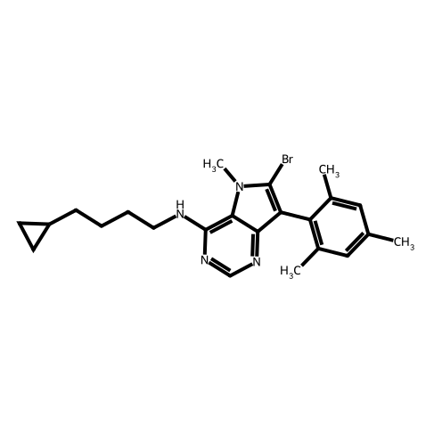 Cc1cc(C)c(-c2c(Br)n(C)c3c(NCCCCC4CC4)ncnc23)c(C)c1